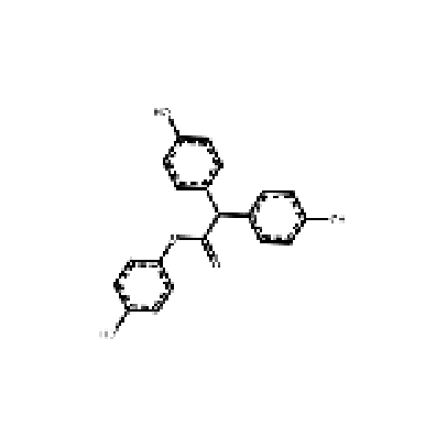 O=C(Oc1ccc(O)cc1)C(c1ccc(O)cc1)c1ccc(O)cc1